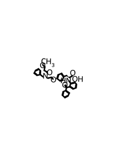 COCCC(=O)N(CCOc1ccc(C[C@H](Nc2ccccc2C(=O)c2ccccc2)C(=O)O)cc1)Cc1ccccc1